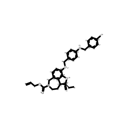 C=CCOC(=O)N1CC[C@]2(C=C)c3c(ccc(OCc4ccc(OCc5ccc(I)cc5)cc4)c3O[C@H]2CC)C1